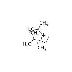 CC(C)N1CC[C@@]1(C)C(C)C